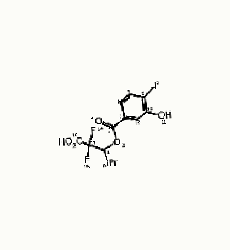 CC(C)C(OC(=O)c1ccc(I)c(O)c1)C(F)(F)C(=O)O